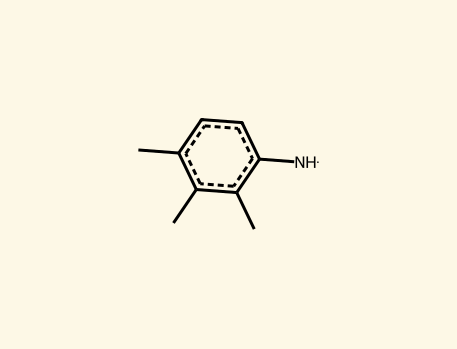 Cc1ccc([NH])c(C)c1C